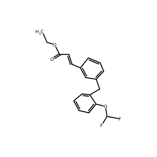 CCOC(=O)/C=C/c1cccc(Cc2ccccc2OC(F)F)c1